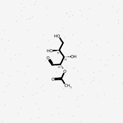 CC(=O)O[C@H](C=O)[C@@H](O)[C@@H](O)CO